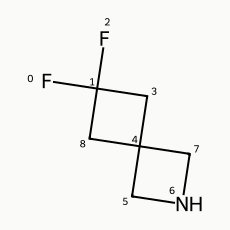 FC1(F)CC2(CNC2)C1